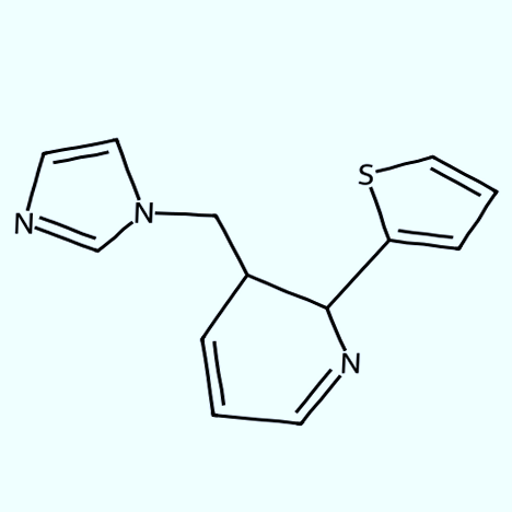 C1=CC(Cn2ccnc2)C(c2cccs2)N=C1